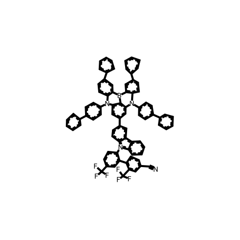 N#Cc1ccc(-c2cc(C(F)(F)F)ccc2-n2c3ccccc3c3cc(-c4cc5c6c(c4)N(c4ccc(-c7ccccc7)cc4)c4ccc(-c7ccccc7)cc4B6c4cc(-c6ccccc6)ccc4N5c4ccc(-c5ccccc5)cc4)ccc32)c(C(F)(F)F)c1